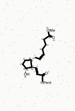 CCCCCC(=O)/C=C/[C@@H]1[C@@H](C/C=C\CCCC(=O)OC)CC[C@H]1O